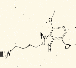 COc1ccc(OC)c2[nH]c(CCCCN)nc12